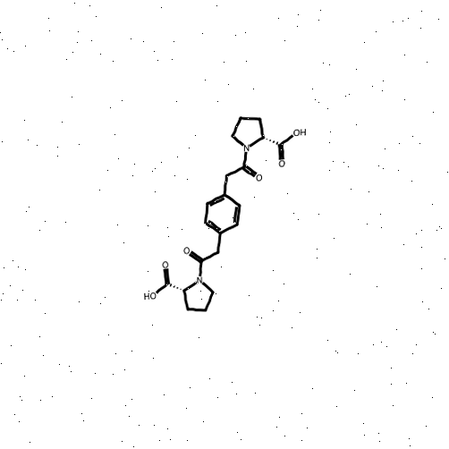 O=C(O)[C@H]1CCCN1C(=O)Cc1ccc(CC(=O)N2CCC[C@@H]2C(=O)O)cc1